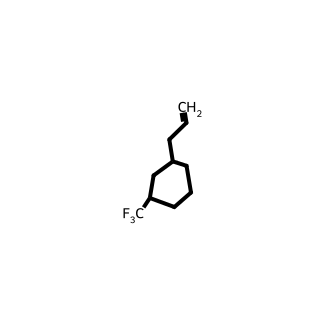 C=CC[C]1CCCC(C(F)(F)F)C1